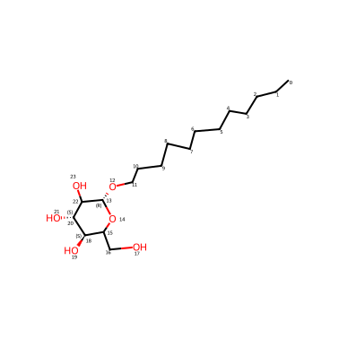 CCCCCCCCCCCCO[C@@H]1OC(CO)[C@@H](O)[C@H](O)C1O